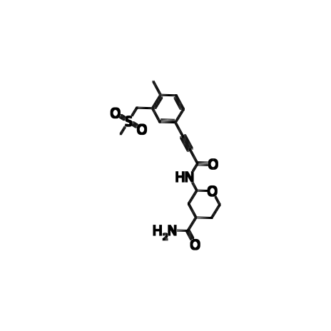 Cc1ccc(C#CC(=O)NC2CC(C(N)=O)CCO2)cc1CS(C)(=O)=O